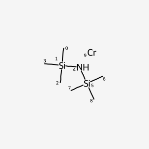 C[Si](C)(C)N[Si](C)(C)C.[Cr]